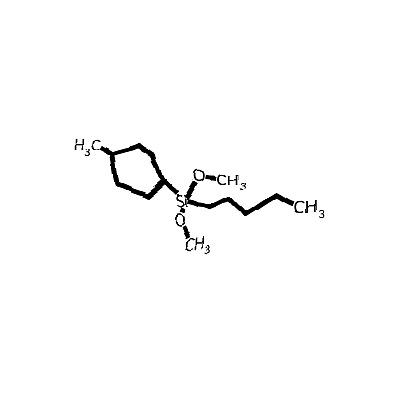 CCCCC[Si](OC)(OC)C1CCC(C)CC1